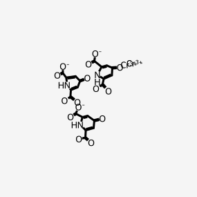 O=C([O-])c1cc(=O)cc(C(=O)[O-])[nH]1.O=C([O-])c1cc(=O)cc(C(=O)[O-])[nH]1.O=C([O-])c1cc(=O)cc(C(=O)[O-])[nH]1.[Cr+3].[Cr+3]